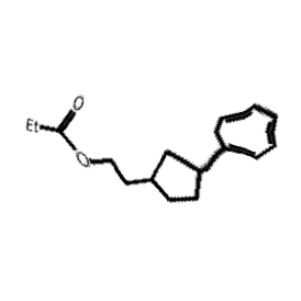 CCC(=O)OCCC1CCC(c2ccccc2)C1